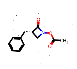 CC(=O)ON1C[C@H](Cc2ccccc2)C1=O